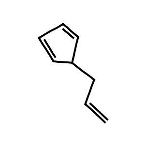 C=CCC1C=CC=C1